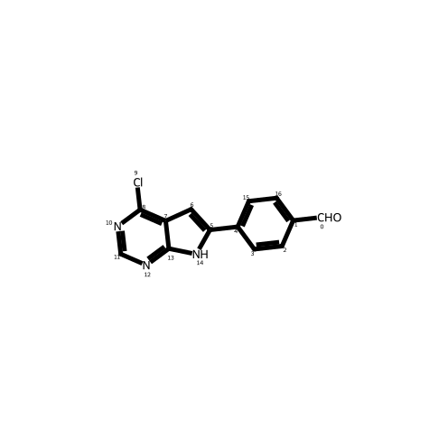 O=Cc1ccc(-c2cc3c(Cl)ncnc3[nH]2)cc1